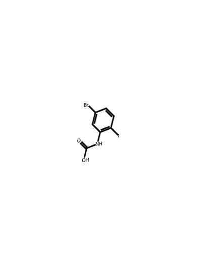 O=C(O)Nc1cc(Br)ccc1I